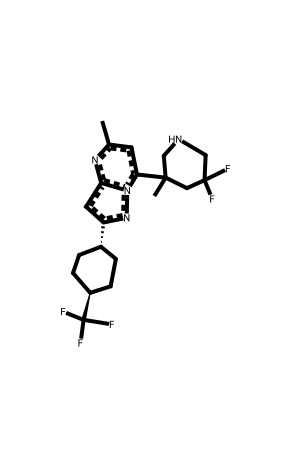 Cc1cc(C2(C)CNCC(F)(F)C2)n2nc([C@H]3CC[C@H](C(F)(F)F)CC3)cc2n1